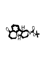 CC(C)(C)OC(=O)N1CC[C@@H]2[C@H](C1)c1cccc3c1N2CCCC3=O